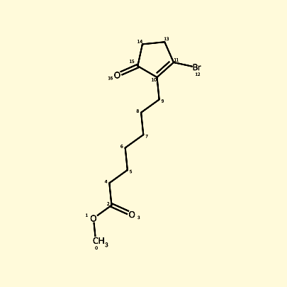 COC(=O)CCCCCCC1=C(Br)CCC1=O